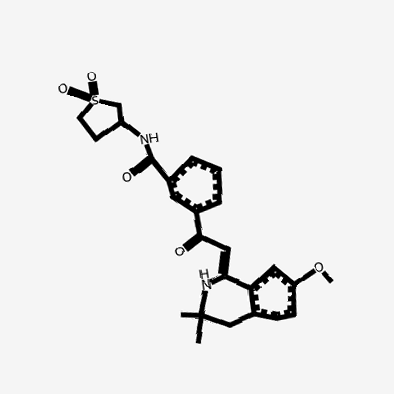 COc1ccc2c(c1)C(=CC(=O)c1cccc(C(=O)NC3CCS(=O)(=O)C3)c1)NC(C)(C)C2